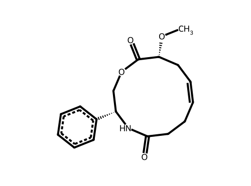 CO[C@@H]1CC=CCCC(=O)N[C@H](c2ccccc2)COC1=O